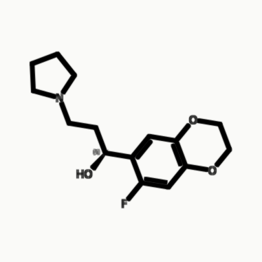 O[C@@H](CCN1CCCC1)c1cc2c(cc1F)OCCO2